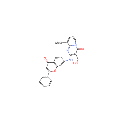 COc1cccn2c(=O)c(CO)c(Nc3ccc4c(=O)cc(-c5ccccc5)oc4c3)nc12